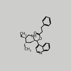 C=C[C@H]1CN[C@@H]([C@@H](OC(=O)CCc2ccccc2)c2ccnc3ccccc23)C[C@@H]1CC